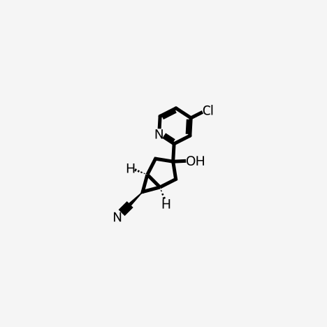 N#C[C@H]1[C@H]2CC(O)(c3cc(Cl)ccn3)C[C@@H]12